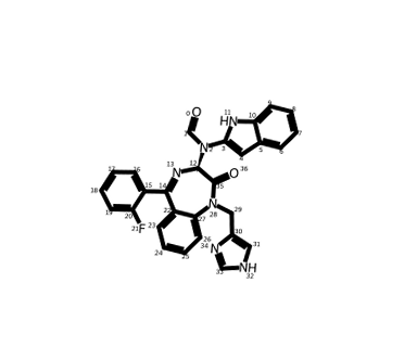 O=CN(c1cc2ccccc2[nH]1)[C@@H]1N=C(c2ccccc2F)c2ccccc2N(Cc2c[nH]cn2)C1=O